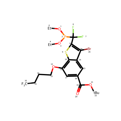 CCOP(OCC)C(F)(F)c1sc2c(OCCCC(F)(F)F)cc(C(=O)OC(C)(C)C)cc2c1Br